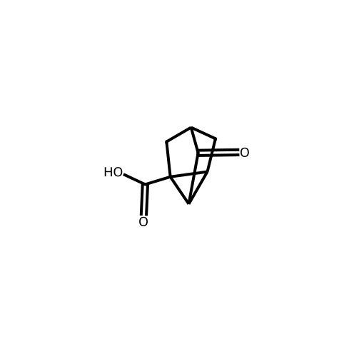 O=C1C2CC3C1C3(C(=O)O)C2